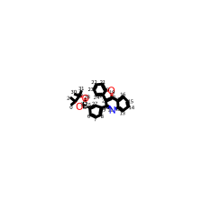 CC1(C)OB(c2cccc(-c3nc4ccccc4c4oc5ccccc5c34)c2)OC1(C)C